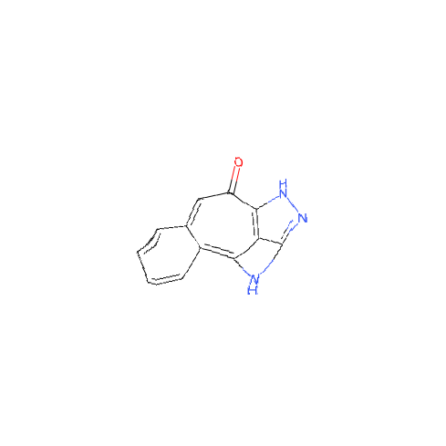 O=c1cc2ccccc2c2c3c(n[nH]c13)N2